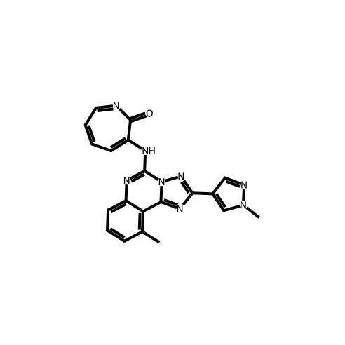 Cc1cccc2nc(Nc3ccccnc3=O)n3nc(-c4cnn(C)c4)nc3c12